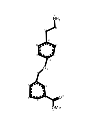 COC(=O)c1cccc(COc2ccc(CCN)cc2)c1